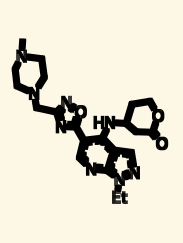 CCn1ncc2c(NC3CCOC(=O)C3)c(-c3nc(CN4CCN(C)CC4)no3)cnc21